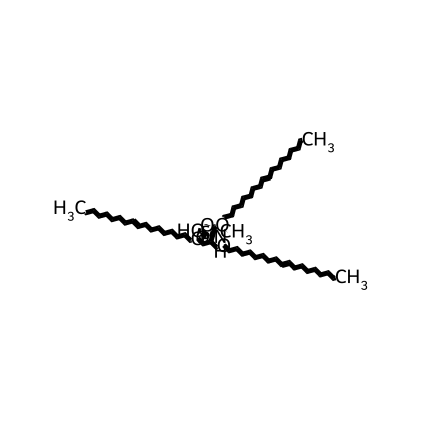 CCCCCCCCC=CCCCCCCCCOCC(COCCCCCCCCC=CCCCCCCCC)C(COCCCCCCCCC=CCCCCCCCC)(NC)S(=O)(=O)O